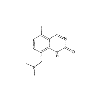 Cc1ccc(CN(C)C)c2[nH]c(=O)ncc12